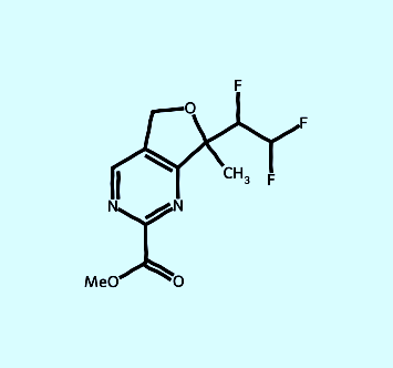 COC(=O)c1ncc2c(n1)C(C)(C(F)C(F)F)OC2